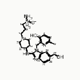 Cc1ccc(O)c(Cn2c(NC3CCN(CCC[SH2+](N)[O-])CC3)nc3ccc(CO)cc32)n1